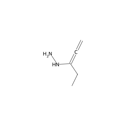 C=C=C(CC)NN